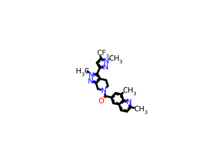 Cc1ccc2cc(C(=O)N3CCc4c(nn(C)c4-c4cc(C(F)(F)F)n(C)n4)C3)cc(C)c2n1